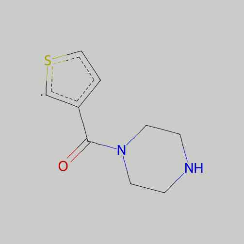 O=C(c1[c]scc1)N1CCNCC1